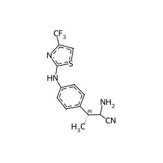 C[C@H](c1ccc(Nc2nc(C(F)(F)F)cs2)cc1)C(N)C#N